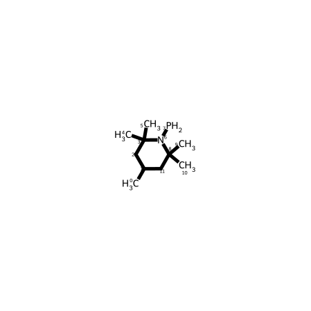 CC1CC(C)(C)N(P)C(C)(C)C1